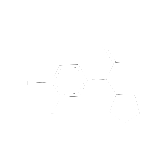 O=C(O)C(c1ccc(Br)c(F)c1)C1CCCC1